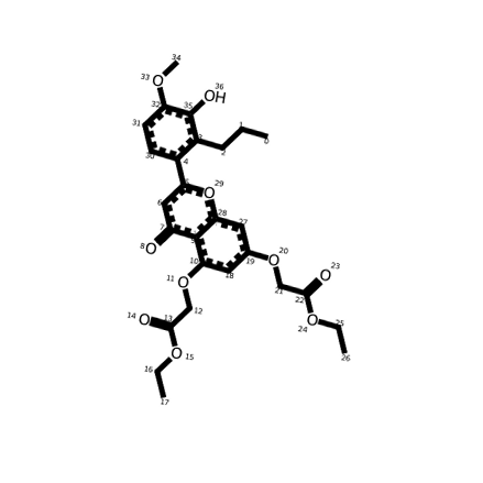 CCCc1c(-c2cc(=O)c3c(OCC(=O)OCC)cc(OCC(=O)OCC)cc3o2)ccc(OC)c1O